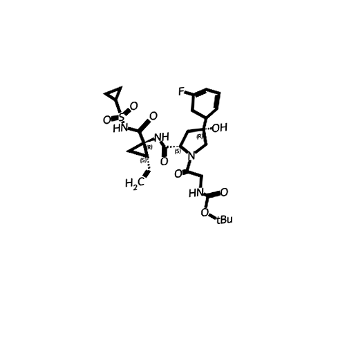 C=C[C@@H]1C[C@]1(NC(=O)[C@@H]1C[C@@](O)(C2C=CC=C(F)C2)CN1C(=O)CNC(=O)OC(C)(C)C)C(=O)NS(=O)(=O)C1CC1